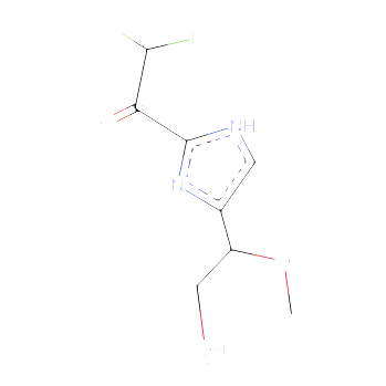 COC(CO)c1c[nH]c(C(=O)C(F)F)n1